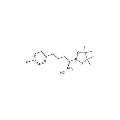 CC1(C)OB([C@@H](N)CCCc2ccc(F)cc2)OC1(C)C.Cl